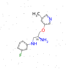 Cc1cncc(OC[C@@H](N)CNc2cccc(F)c2)c1